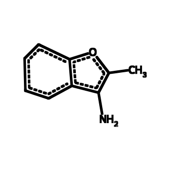 Cc1oc2ccccc2c1N